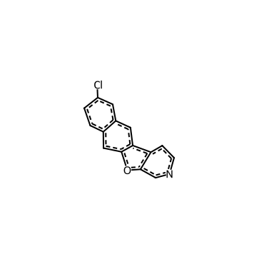 Clc1ccc2cc3oc4cnccc4c3cc2c1